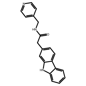 O=C(Cc1ccc2c(c1)[nH]c1ccccc12)NCc1ccncc1